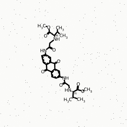 COC(=O)[C@@H](NCC(=O)Nc1ccc2c(c1)C(=O)c1cc(NC(=O)CN[C@@H](C(=O)OC)C(C)C)ccc1C2=O)C(C)C